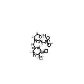 O=[N+]([O-])C=C1NCCN1Cc1cnc(Cl)c(Cl)c1